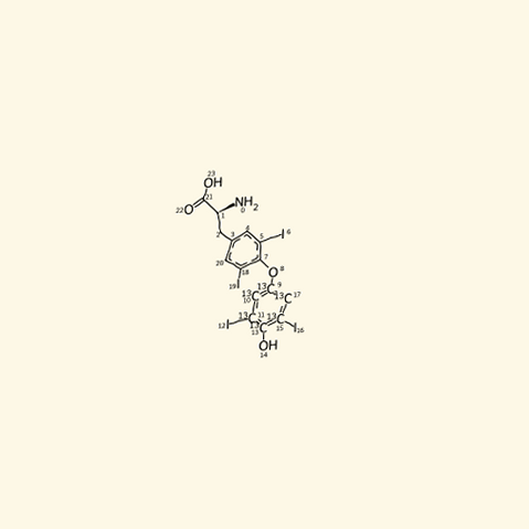 N[C@@H](Cc1cc(I)c(O[13c]2[13cH][13c](I)[13c](O)[13c](I)[13cH]2)c(I)c1)C(=O)O